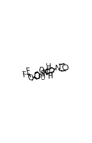 O=S(=O)(c1ccc(OC(F)F)cc1)N1C[C@H]2CC(N3CCOCC3)C[C@H]2C1